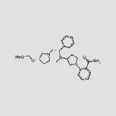 COCO[C@H]1CCN(C[C@H](c2ccccc2)N(C)C2CCN(c3ccccc3C(N)=O)C2)C1